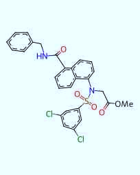 COC(=O)CN(c1cccc2c(C(=O)NCc3ccccc3)cccc12)S(=O)(=O)c1cc(Cl)cc(Cl)c1